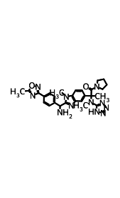 Cc1nc(-c2ccc(C(N)c3nc4cc(C(C)(C(=O)N5CCCC5)N(C)c5nnn[nH]5)ccc4n3C)cc2)no1